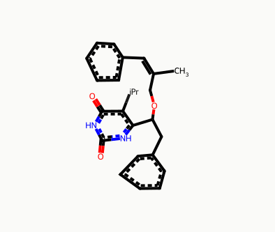 CC(=Cc1ccccc1)COC(Cc1ccccc1)c1[nH]c(=O)[nH]c(=O)c1C(C)C